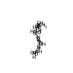 CCN(C)S(=O)(=O)Nc1ccc(F)c(C(=O)c2c[nH]c3ncc(-c4ccc(N5CCN(C(=O)CC6(O)CCN(c7ccc(N[C@H]8CCC(=O)NC8=O)cc7F)CC6)CC5)nc4)cc23)c1F